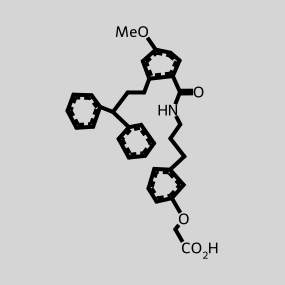 COc1ccc(C(=O)NCCCc2cccc(OCC(=O)O)c2)c(CCC(c2ccccc2)c2ccccc2)c1